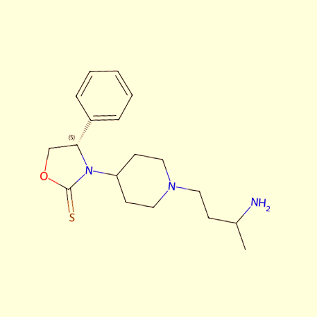 CC(N)CCN1CCC(N2C(=S)OC[C@@H]2c2ccccc2)CC1